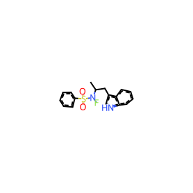 CC(Cc1c[nH]c2ccccc12)N(F)S(=O)(=O)c1ccccc1